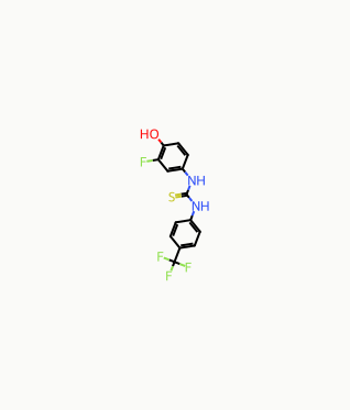 Oc1ccc(NC(=S)Nc2ccc(C(F)(F)F)cc2)cc1F